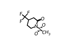 CS(=O)(=O)N1CCC(C(F)(F)F)CC1=O